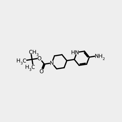 CC(C)(C)OC(=O)N1CCC(C2C=CC(N)=CN2)CC1